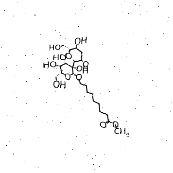 COC(=O)CCCCCCCCO[C@H]1O[C@H](CO)[C@@H](O)[C@H](O)[C@]1(O)[C@@H]1O[C@H](CO)[C@@H](O)C[C@H]1O